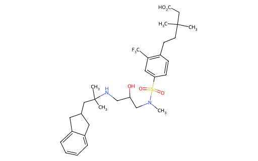 CN(CC(O)CNC(C)(C)CC1Cc2ccccc2C1)S(=O)(=O)c1ccc(CCC(C)(C)CC(=O)O)c(C(F)(F)F)c1